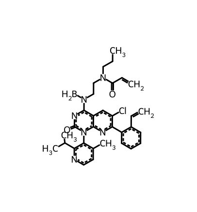 BN(CCN(CCC)C(=O)C=C)c1nc(=O)n(-c2c(C)ccnc2C(C)C)c2nc(-c3ccccc3C=C)c(Cl)cc12